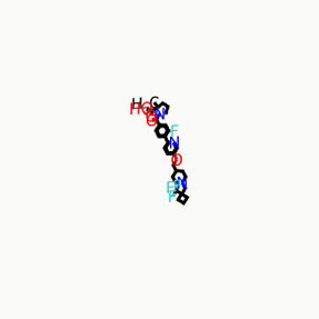 CC1(C(=O)O)CCCN1C(=O)c1ccc(-c2ccc(OCC3CCN(CC4(C(F)(F)F)CCC4)CC3)cn2)c(F)c1